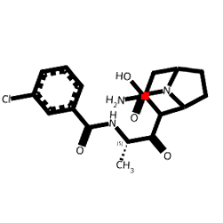 C[C@H](NC(=O)c1cccc(Cl)c1)C(=O)C1C(N)CC2CCC1N2C(=O)O